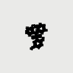 O=S(=O)(c1cc(F)ccc1F)C(c1ccccc1Cl)n1cncn1